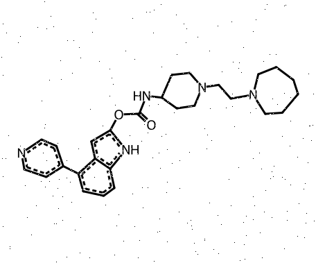 O=C(NC1CCN(CCN2CCCCCC2)CC1)Oc1cc2c(-c3ccncc3)cccc2[nH]1